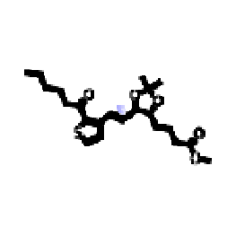 CCCCCC(=O)c1sccc1/C=C/C1OC(C)(C)OC1CCCC(=O)OC